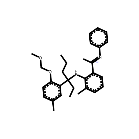 CCCC(CC)(Pc1c(C)cccc1/C(C)=N/c1ccccc1)c1cc(C)ccc1OCOC